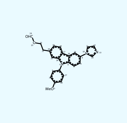 COc1ccc(-n2c3ccc(-n4ccnc4)cc3c3ccc(CCOC=O)cc32)cc1